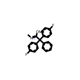 C/N=C(\OC)C(c1ccccc1)(c1ccc(F)cc1)c1ccc(F)cc1